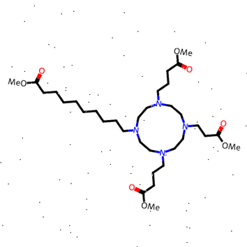 COC(=O)CCCCCCCCCN1CCN(CCCC(=O)OC)CCN(CCC(=O)OC)CCN(CCCC(=O)OC)CC1